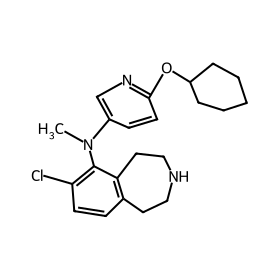 CN(c1ccc(OC2CCCCC2)nc1)c1c(Cl)ccc2c1CCNCC2